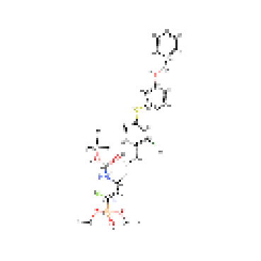 CCOP(=O)(OCC)/C(F)=C/C(CCCc1ccc(Sc2cccc(OCc3ccccc3)c2)cc1Cl)NC(=O)OC(C)(C)C